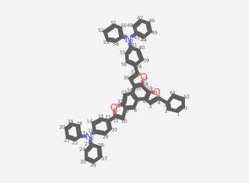 c1ccc(-c2cc3c4cc5cc(-c6ccc(N(c7ccccc7)c7ccccc7)cc6)oc5cc4c4cc(-c5ccc(N(c6ccccc6)c6ccccc6)cc5)oc4c3o2)cc1